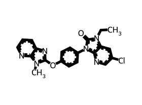 CCn1c(=O)n(-c2ccc(Oc3nc4cccnc4n3C)cc2)c2ncc(Cl)cc21